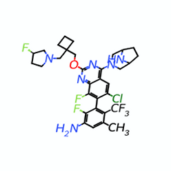 Cc1cc(N)c(F)c(-c2c(Cl)cc3c(N4CC5CCC(C4)N5)nc(OCC4(CN5CC[C@@H](F)C5)CCC4)nc3c2F)c1C(F)(F)F